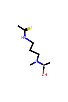 CB(O)N(C)CCCNC(C)=S